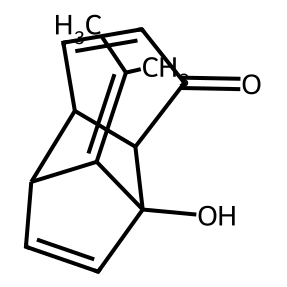 CC(C)=C1C2C=CC1(O)C1C(=O)C=CC21